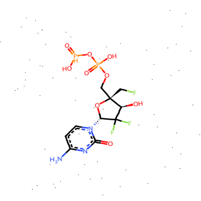 Nc1ccn([C@@H]2O[C@](CF)(COP(=O)(O)O[PH](=O)O)[C@@H](O)C2(F)F)c(=O)n1